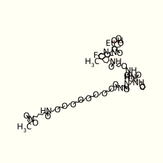 CC[C@@]1(O)C(=O)OCc2c1cc1n(c2=O)Cc2c-1nc1cc(F)c(C)c3c1c2[C@@H](NC(=O)[C@H]1C[C@@H](OCNC(=O)CNC(=O)[C@H](Cc2ccccc2)NC(=O)CNC(=O)CNC(=O)COCCOCCOCCOCCOCCOCCOCCOCCNC(=O)CCCCCN2C(=O)CC(C)C2=O)C1)CC3